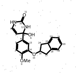 COc1ccc(C2(O)C=CNC(=O)N2)cc1OC1Cc2ccccc2C1